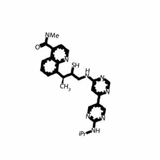 CNC(=O)c1ccnc2c([C@H](C)C(S)CNc3cc(-c4cnc(NC(C)C)nc4)ncn3)cccc12